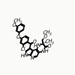 COC[C@]1(C)Nc2c(cnc3[nH]cc(C(=O)c4ccc(Oc5cccc(OC)c5)cc4Cl)c23)NC1=O